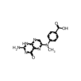 CN(c1ccc(C(=O)O)cc1)c1cnc2[nH]c(N)nc(=O)c2n1